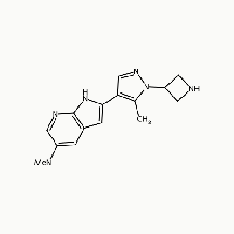 CNc1cnc2[nH]c(-c3cnn(C4CNC4)c3C)cc2c1